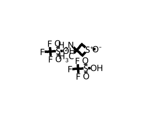 CC1(N)C[S+]([O-])C1.O=S(=O)(O)C(F)(F)F.O=S(=O)(O)C(F)(F)F